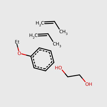 C=CC.C=CC.CCOc1ccccc1.OCCO